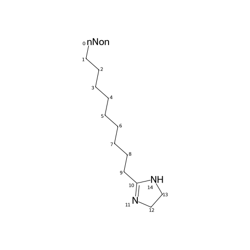 CCCCCCCCCCCCCCCCCCC1=NCCN1